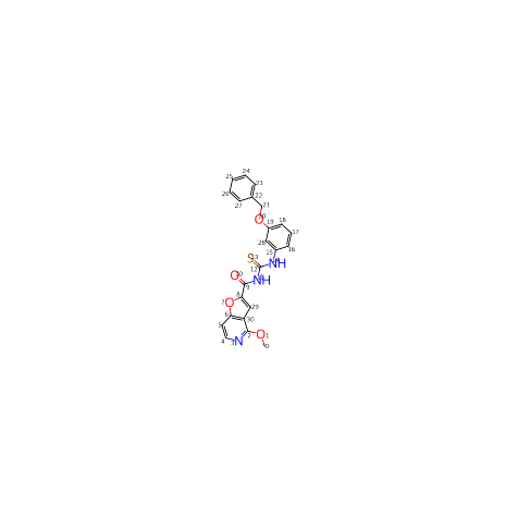 COc1nccc2oc(C(=O)NC(=S)Nc3cccc(OCc4ccccc4)c3)cc12